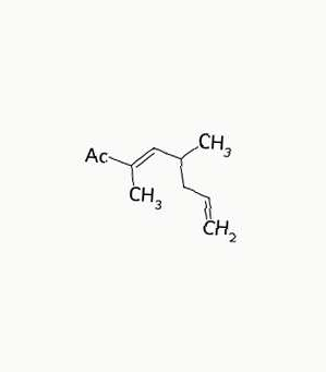 C=CCC(C)C=C(C)C(C)=O